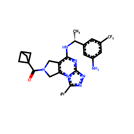 CC(C)c1nnc2nc(N[C@H](C)c3cc(N)cc(C(F)(F)F)c3)c3c(n12)CN(C(=O)C12CC(C1)C2)C3